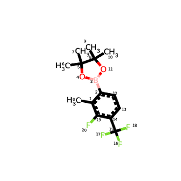 Cc1c(B2OC(C)(C)C(C)(C)O2)ccc(C(F)(F)F)c1F